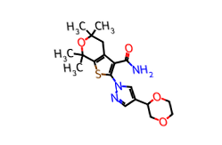 CC1(C)Cc2c(sc(-n3cc(C4COCCO4)cn3)c2C(N)=O)C(C)(C)O1